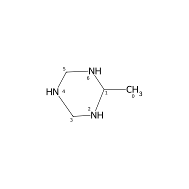 CC1NCNCN1